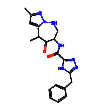 Cc1cc2n(n1)NCC(NC(=O)c1nnc(Cc3ccccc3)[nH]1)C(=O)C2C